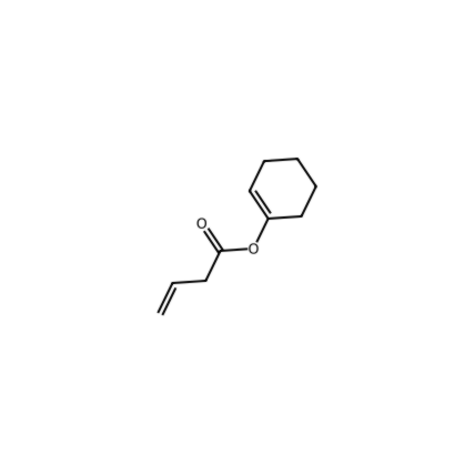 C=CCC(=O)OC1=CCCCC1